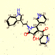 O=C(C1=C(O)C(=O)N(CCc2c[nH]c3ccccc23)C1c1cccnc1)c1cccnc1